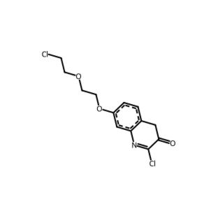 O=C1Cc2ccc(OCCOCCCl)cc2N=C1Cl